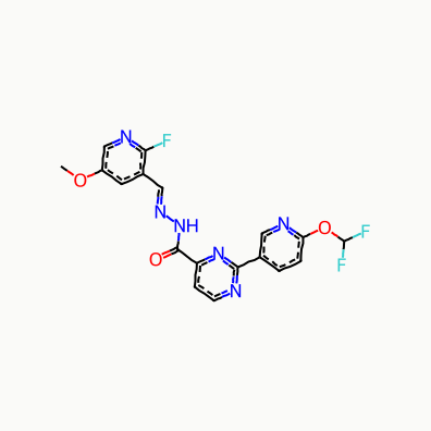 COc1cnc(F)c(/C=N/NC(=O)c2ccnc(-c3ccc(OC(F)F)nc3)n2)c1